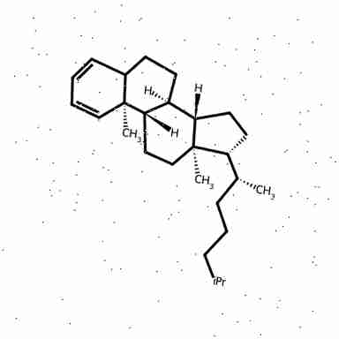 CC(C)CCC[C@@H](C)[C@H]1CC[C@H]2[C@@H]3CCC4C=CC=[C][C@]4(C)[C@H]3CC[C@]12C